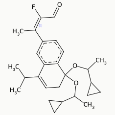 C/C(=C(\F)C=O)c1ccc2c(c1)C(C(C)C)=CCC2(OC(C)C1CC1)OC(C)C1CC1